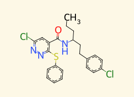 CCCC(CCc1ccc(Cl)cc1)NC(=O)c1cc(Cl)nnc1Sc1ccccc1